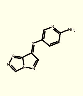 Nc1ccc(/N=C2\C=Nn3cnnc32)cn1